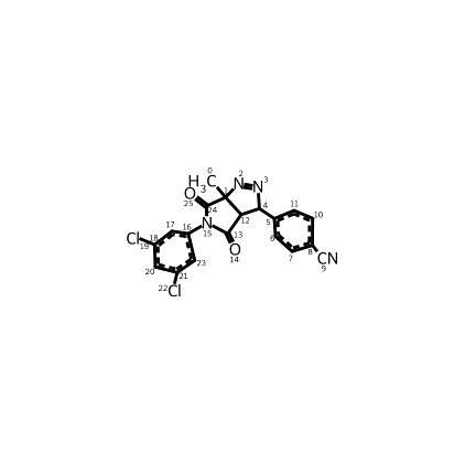 CC12N=NC(c3ccc(C#N)cc3)C1C(=O)N(c1cc(Cl)cc(Cl)c1)C2=O